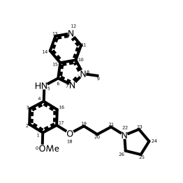 COc1ccc(Nc2nn(C)c3cnccc23)cc1OCCCN1CCCC1